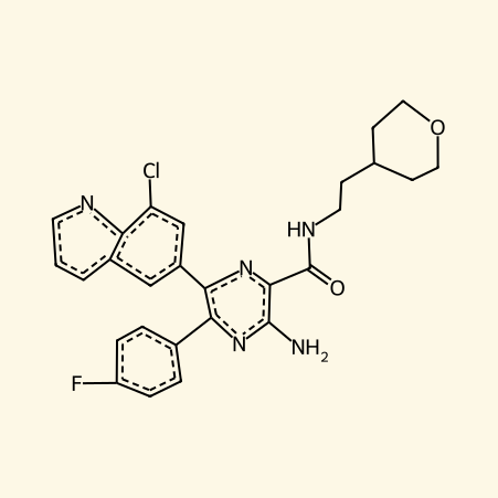 Nc1nc(-c2ccc(F)cc2)c(-c2cc(Cl)c3ncccc3c2)nc1C(=O)NCCC1CCOCC1